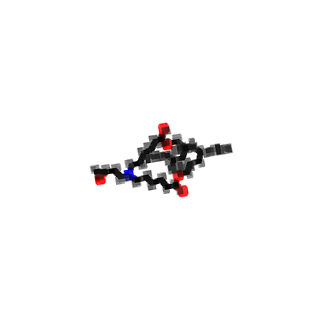 CCCCCCC(CCCCCC)CCCOC(=O)CCCCCN(CCCCCC(=O)OCCCC(CCCCCC)CCCCCC)CCC1CO1